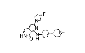 CN1CCC(c2ccc(Nc3nc(N4CC[C@H](F)C4)cc4cc[nH]c(=O)c34)cc2)CC1